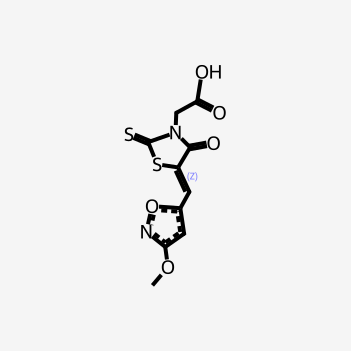 COc1cc(/C=C2\SC(=S)N(CC(=O)O)C2=O)on1